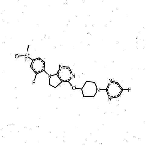 C[S@+]([O-])c1ccc(N2CCc3c(OC4CCN(c5ncc(F)cn5)CC4)ncnc32)c(F)c1